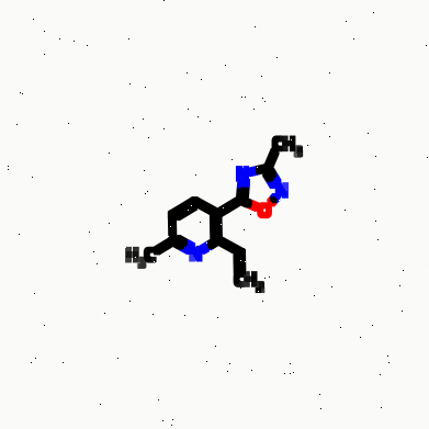 C=Cc1nc(C)ccc1-c1nc(C)no1